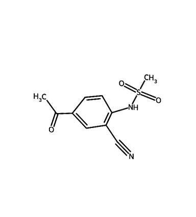 CC(=O)c1ccc(NS(C)(=O)=O)c(C#N)c1